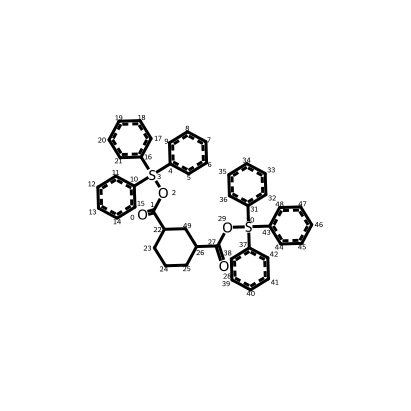 O=C(OS(c1ccccc1)(c1ccccc1)c1ccccc1)C1CCCC(C(=O)OS(c2ccccc2)(c2ccccc2)c2ccccc2)C1